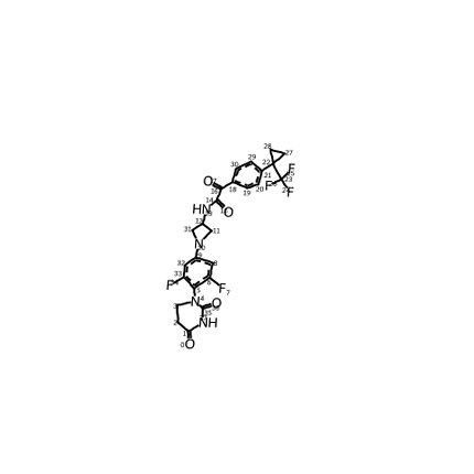 O=C1CCN(c2c(F)cc(N3CC(NC(=O)C(=O)c4ccc(C5(C(F)(F)F)CC5)cc4)C3)cc2F)C(=O)N1